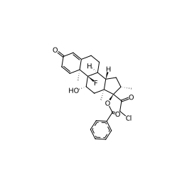 C[C@H]1C[C@H]2[C@@H]3CCC4=CC(=O)C=C[C@]4(C)[C@@]3(F)[C@@H](O)C[C@]2(C)[C@@]1(OC(=O)c1ccccc1)C(=O)CCl